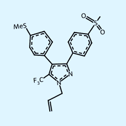 C=CCn1nc(-c2ccc(S(C)(=O)=O)cc2)c(-c2ccc(SC)cc2)c1C(F)(F)F